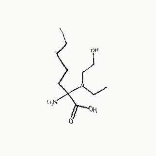 CCCCCC(N)(C(=O)O)N(CC)CCO